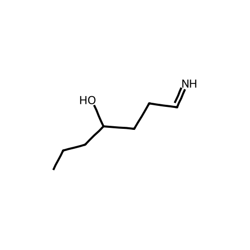 CCCC(O)CCC=N